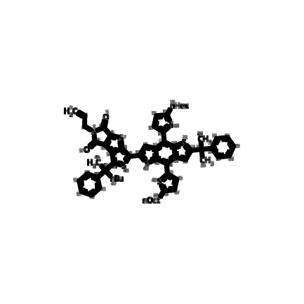 C=CCN1C(=O)c2sc3c(-c4cc5c(-c6ccc(CCCCCC)s6)c6sc(C(C)(C)c7ccccc7)cc6c(-c6ccc(CCCCCCCC)s6)c5s4)sc(C(C)(CCCC)c4ccccc4)c3c2C1=O